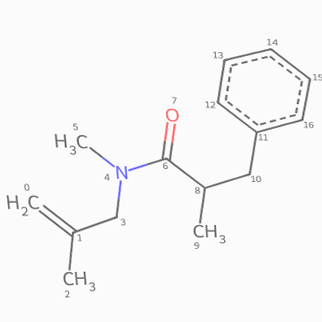 C=C(C)CN(C)C(=O)C(C)Cc1ccccc1